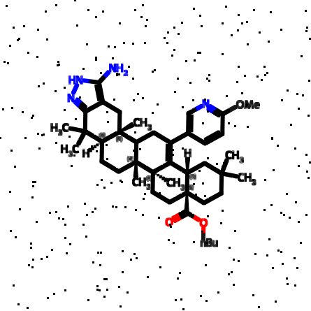 CCCCOC(=O)[C@]12CCC(C)(C)C[C@H]1C1=C(c3ccc(OC)nc3)CC3[C@@]4(C)Cc5c(n[nH]c5N)C(C)(C)[C@@H]4CC[C@@]3(C)[C@]1(C)CC2